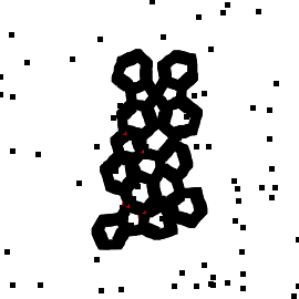 c1ccc(-c2ccccc2-c2c(-c3ccccc3)cccc2N(c2cccc(-n3c4ccccc4c4ccccc43)c2)c2ccc3c(c2)C2(c4ccccc4-c4ccccc42)c2ccccc2-3)cc1